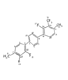 Cc1ccc(-c2ccc(-c3ccc(C)c(C(F)(F)F)c3F)cc2)c(F)c1F